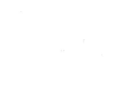 CC1CCC(COc2ccc(-c3ccccc3)c(Cl)c2F)CC1